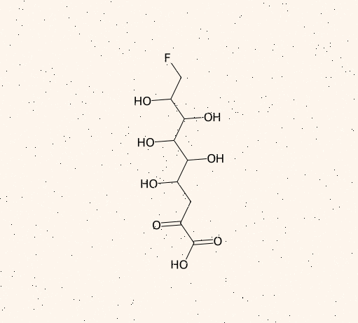 O=C(O)C(=O)CC(O)C(O)C(O)C(O)C(O)CF